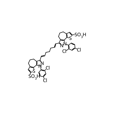 O=S(=O)(O)c1cc2c(s1)-c1c(c(/C=C/CCC/C=C/c3nn(-c4ccc(Cl)cc4Cl)c4c3CCCc3cc(S(=O)(=O)O)sc3-4)nn1-c1ccc(Cl)cc1Cl)CCC2